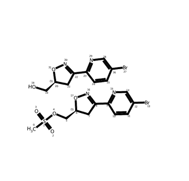 CS(=O)(=O)OC[C@@H]1CC(c2ccc(Br)cn2)=NO1.OC[C@@H]1CC(c2ccc(Br)cn2)=NO1